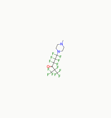 CN1CCN(C(F)(F)C(F)(F)C(F)(F)C(=O)C(F)(C(F)(F)F)C(F)(F)F)CC1